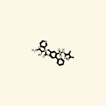 CCCC(=O)[N+](Cc1ccc(-c2ccccc2)c(S(=O)(=O)Nc2onc(C)c2C)c1)(c1cccnc1)[C@H](C(N)=O)C(C)C